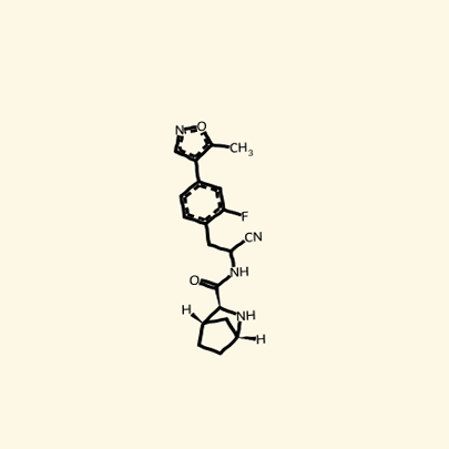 Cc1oncc1-c1ccc(CC(C#N)NC(=O)[C@H]2N[C@@H]3CC[C@H]2C3)c(F)c1